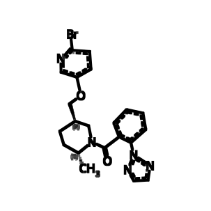 C[C@@H]1CC[C@@H](COc2ccc(Br)nc2)CN1C(=O)c1ccccc1-n1nccn1